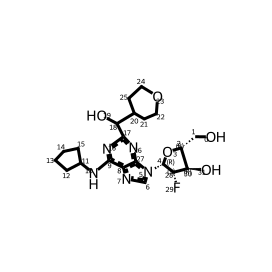 OC[C@H]1O[C@@H](n2cnc3c(NC4CCCC4)nc(C(O)C4CCOCC4)nc32)[C@@H](F)[C@@H]1O